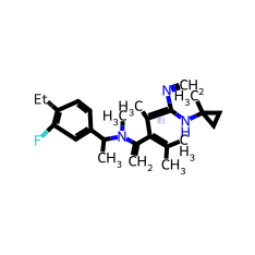 C=N/C(NC1(C)CC1)=C(\C)C(C(=C)N(C)C(C)c1ccc(CC)c(F)c1)=C(C)C